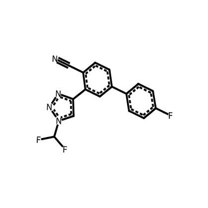 N#Cc1ccc(-c2ccc(F)cc2)cc1-c1cn(C(F)F)nn1